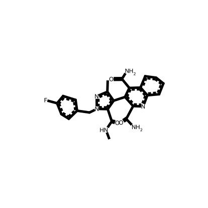 CNC(=O)c1c(-c2c(C(N)=O)nc3ccccc3c2C(N)=O)c(C)nn1Cc1ccc(F)cc1